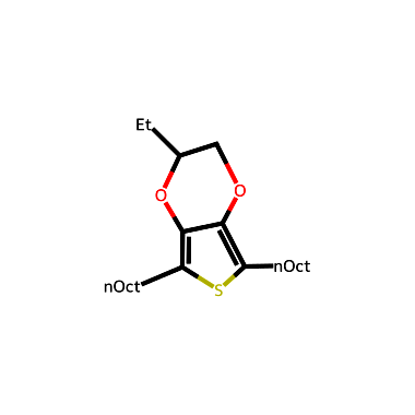 CCCCCCCCc1sc(CCCCCCCC)c2c1OCC(CC)O2